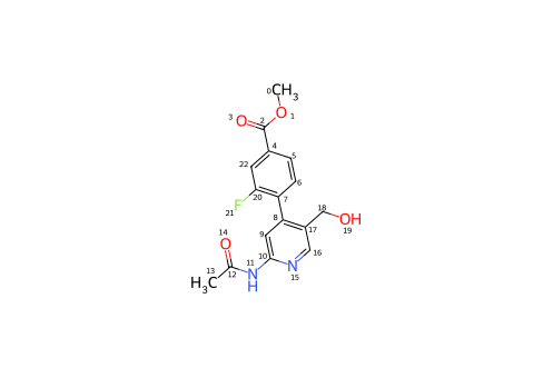 COC(=O)c1ccc(-c2cc(NC(C)=O)ncc2CO)c(F)c1